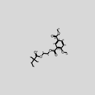 CCC(C)(C)C(=O)OCCOC(=O)c1cc(C(=O)OC)ccc1OC